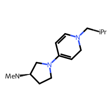 CN[C@@H]1CCN(C2=CCN(CC(C)C)C=C2)C1